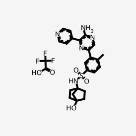 Cc1ccc(S(=O)(=O)NC23CCC(O)(CC2)C3)cc1-c1cnc(N)c(-c2ccncc2)n1.O=C(O)C(F)(F)F